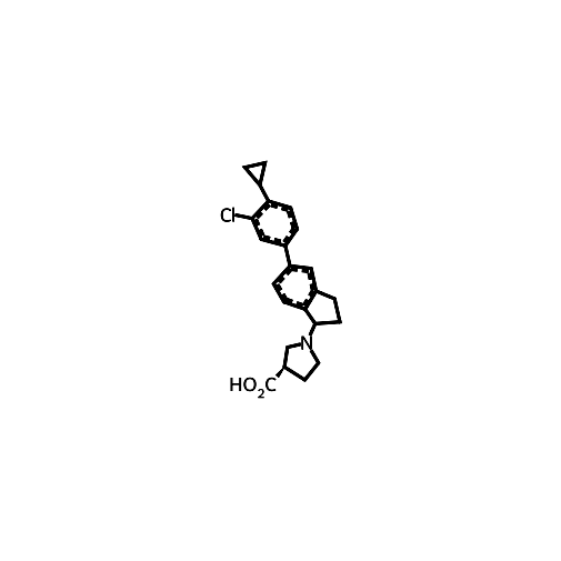 O=C(O)[C@@H]1CCN(C2CCc3cc(-c4ccc(C5CC5)c(Cl)c4)ccc32)C1